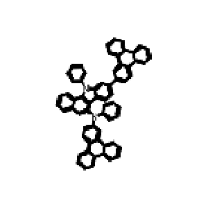 c1ccc(N(c2ccc3c4ccccc4c4ccccc4c3c2)c2cc3ccccc3c3c2c2ccc(-c4ccc5c6ccccc6c6ccccc6c5c4)cc2n3-c2ccccc2)cc1